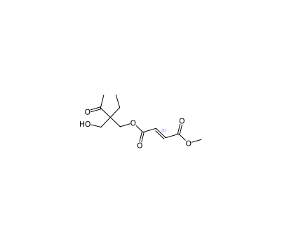 CCC(CO)(COC(=O)/C=C/C(=O)OC)C(C)=O